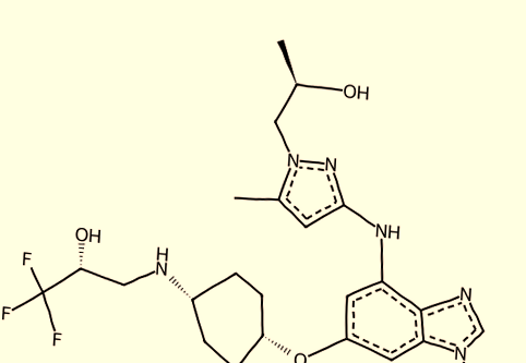 Cc1cc(Nc2cc(O[C@H]3CC[C@@H](NC[C@@H](O)C(F)(F)F)CC3)cc3c2ncn3C)nn1C[C@@H](C)O